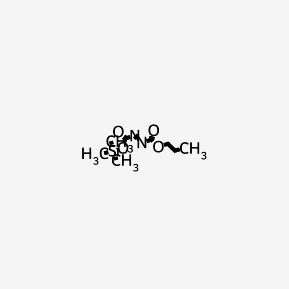 CCCOC(=O)N=NC(=O)O[Si](C)(C)C